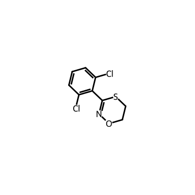 Clc1cccc(Cl)c1C1=NOCCS1